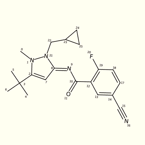 Cn1c(C(C)(C)C)cc(=NC(=O)c2cc(C#N)ccc2F)n1CC1CC1